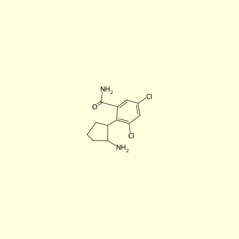 NC(=O)c1cc(Cl)cc(Cl)c1C1CCCC1N